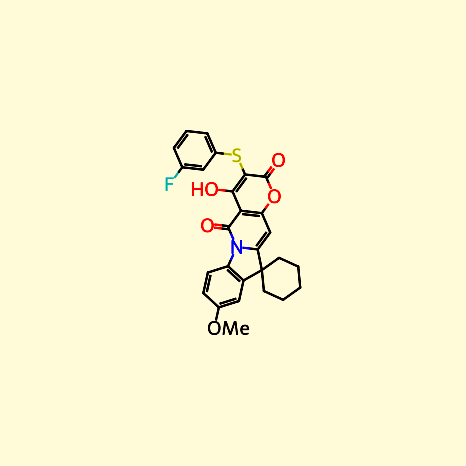 COc1ccc2c(c1)C1(CCCCC1)c1cc3oc(=O)c(Sc4cccc(F)c4)c(O)c3c(=O)n1-2